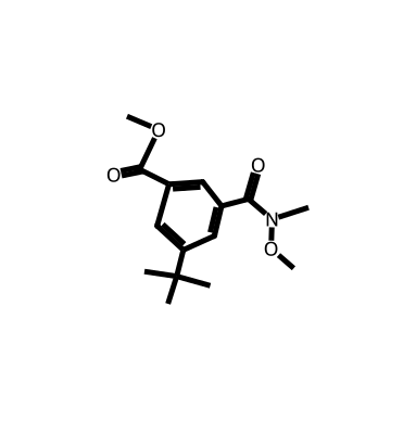 COC(=O)c1cc(C(=O)N(C)OC)cc(C(C)(C)C)c1